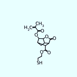 C=C(C)C(=O)OC1C2CC3C1OC(=O)C3C2C(=O)OCCS